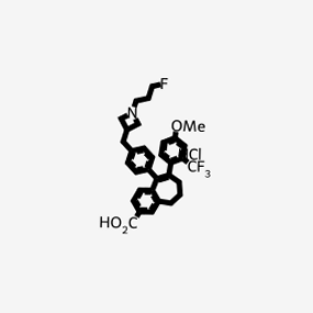 COc1ccc(C2=C(c3ccc(CC4CN(CCCF)C4)cc3)c3ccc(C(=O)O)cc3CCC2)c(C(F)(F)F)c1.Cl